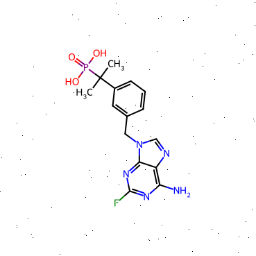 CC(C)(c1cccc(Cn2cnc3c(N)nc(F)nc32)c1)P(=O)(O)O